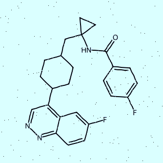 O=C(NC1(CC2CCC(c3cnnc4ccc(F)cc34)CC2)CC1)c1ccc(F)cc1